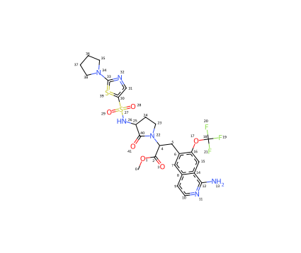 COC(=O)C(Cc1cc2ccnc(N)c2cc1OC(F)(F)F)N1CCC(NS(=O)(=O)c2cnc(N3CCCC3)s2)C1=O